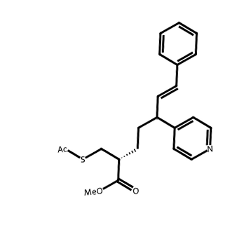 COC(=O)[C@@H](CC[C](C=Cc1ccccc1)c1ccncc1)CSC(C)=O